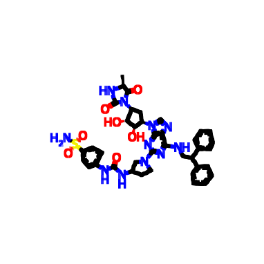 C[C@@H]1NC(=O)N([C@H]2C[C@@H](n3cnc4c(NCC(c5ccccc5)c5ccccc5)nc(N5CCC(NC(=O)Nc6ccc(S(N)(=O)=O)cc6)C5)nc43)[C@H](O)[C@@H]2O)C1=O